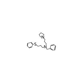 c1ccc(CN(CCCSc2ccccc2)CCCN2CCCC2)cc1